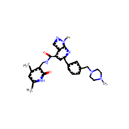 Cc1cc(C)c(CNC(=O)c2cc(-c3cccc(CN4CCN(C)CC4)c3)nc3c2cnn3C(C)C)c(=O)[nH]1